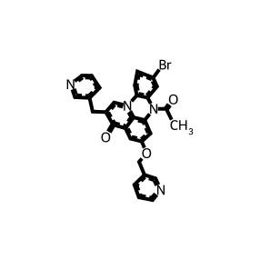 CC(=O)N1c2cc(Br)ccc2-n2cc(Cc3cccnc3)c(=O)c3cc(OCc4cccnc4)cc1c32